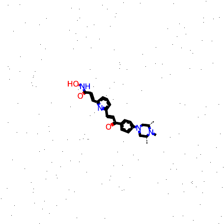 C[C@@H]1CN(c2ccc(C(=O)/C=C/c3cccc(/C=C/C(=O)NO)n3)cc2)C[C@H](C)N1C